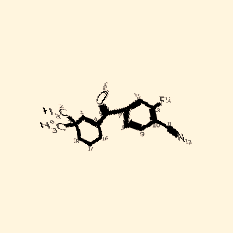 CC1(C)C=C(C(=O)c2ccc(C#N)c(F)c2)CCC1